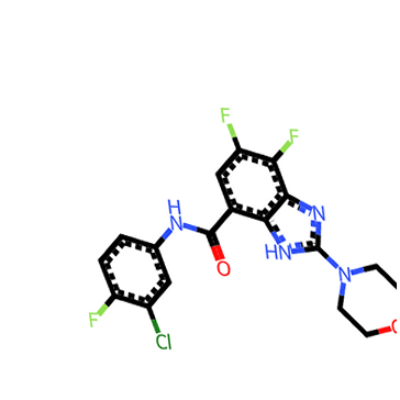 O=C(Nc1ccc(F)c(Cl)c1)c1cc(F)c(F)c2nc(N3CCOCC3)[nH]c12